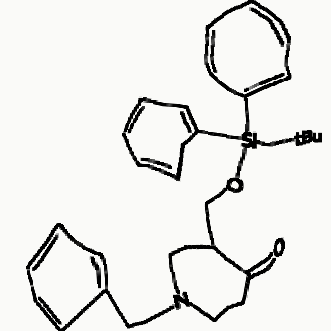 CC(C)(C)[Si](OCC1CN(Cc2ccccc2)CCC1=O)(c1ccccc1)c1ccccc1